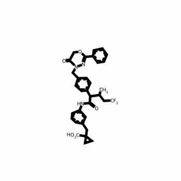 CC(CC(F)(F)F)C(C(=O)Nc1cccc(CC2(C(=O)O)CC2)c1)c1ccc(CN2N=C(c3ccccc3)OCC2=O)cc1